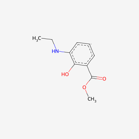 CCNc1c[c]cc(C(=O)OC)c1O